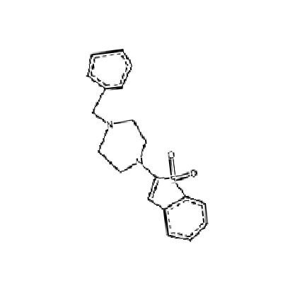 O=S1(=O)C(N2CCN(Cc3ccccc3)CC2)=Cc2ccccc21